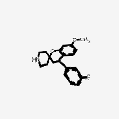 COc1ccc2c(c1)OC1(CCNCC1)CC2c1cccc(F)c1